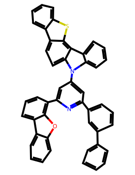 c1ccc(-c2cccc(-c3cc(-n4c5ccccc5c5c6sc7ccccc7c6ccc54)cc(-c4cccc5c4oc4ccccc45)n3)c2)cc1